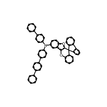 c1ccc(-c2ccc(-c3ccc(N(c4ccc(-c5ccccc5)cc4)c4ccc5oc6c(c5c4)Oc4ccccc4C64c5ccccc5-c5ccccc54)cc3)cc2)cc1